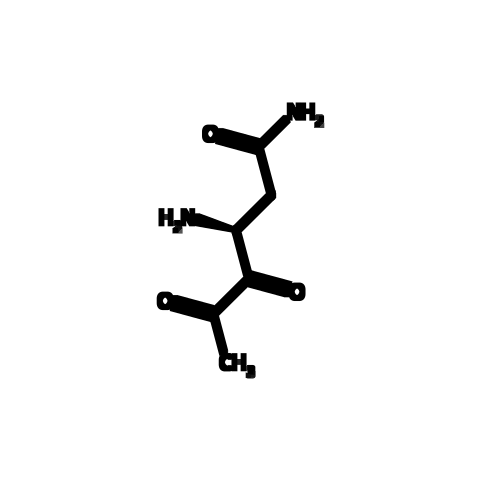 CC(=O)C(=O)[C@@H](N)CC(N)=O